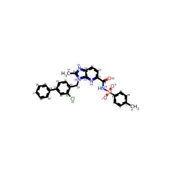 Cc1ccc(S(=O)(=O)NC(=O)c2ccc3nc(C)n(Cc4ccc(-c5ccccc5)cc4Cl)c3n2)cc1